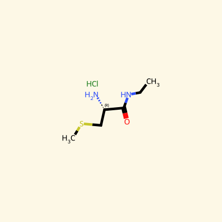 CCNC(=O)[C@@H](N)CSC.Cl